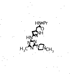 Cc1nc(Nc2cc(CC(=O)NC(C)C)[nH]n2)nc(N2CCN(C)CC2)n1